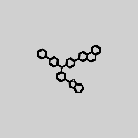 c1ccc(-c2ccc(N(c3ccc(-c4ccc5c(ccc6ccccc65)c4)cc3)c3cccc(-c4cc5ccccc5o4)c3)cc2)cc1